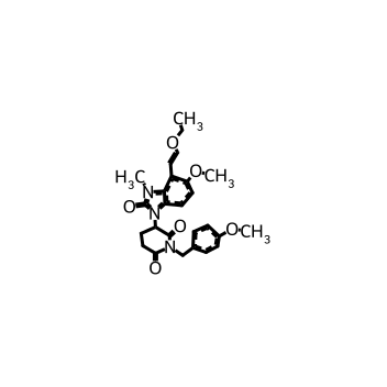 CCO/C=C/c1c(OC)ccc2c1n(C)c(=O)n2C1CCC(=O)N(Cc2ccc(OC)cc2)C1=O